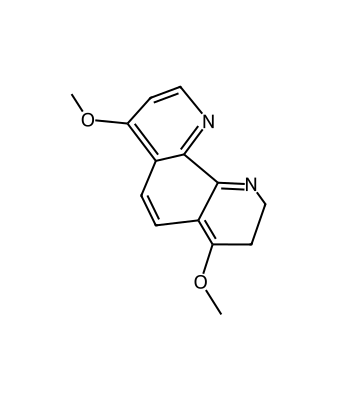 COC1=c2ccc3c(OC)ccnc3c2=NCC1